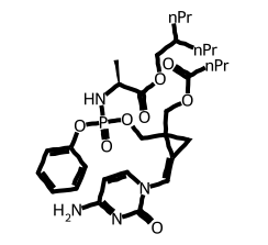 CCCC(=O)OCC1(COP(=O)(N[C@@H](C)C(=O)OCC(CCC)CCC)Oc2ccccc2)C/C1=C/n1ccc(N)nc1=O